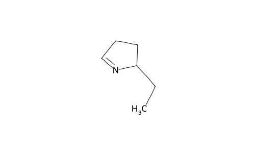 CCC1CCC=N1